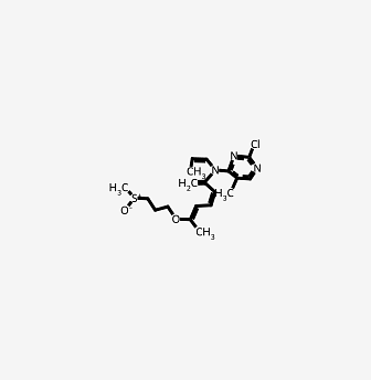 C=C(/C=C\C=C(/C)OCCC[S+](C)[O-])N(/C=C\C)c1nc(Cl)ncc1C